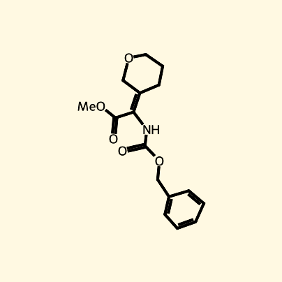 COC(=O)/C(NC(=O)OCc1ccccc1)=C1/CCCOC1